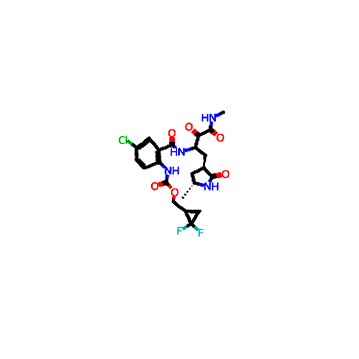 CNC(=O)C(=O)C(C[C@@H]1C[C@@H](C)NC1=O)NC(=O)c1cc(Cl)ccc1NC(=O)OCC1CC1(F)F